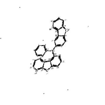 c1ccc(N(c2ccc3oc4cccnc4c3c2)c2cccc3oc4ncccc4c23)cc1